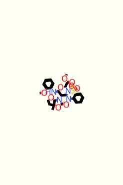 CCC1(C)OC(=O)N(C(C(=O)Nc2ccccc2OC)C2=Nc3ccccc3S(=O)(=O)N2CC(=O)OC)C1=O